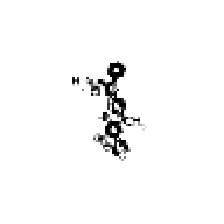 COc1cc(N2CCOCC2)c([N+](=O)[O-])cc1Nc1nccc(-n2cc(CN(C)C)c(-c3ccccc3)n2)n1